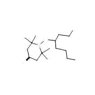 CCCCC(CCC)ON1C(C)(C)CC(=O)CC1(C)C